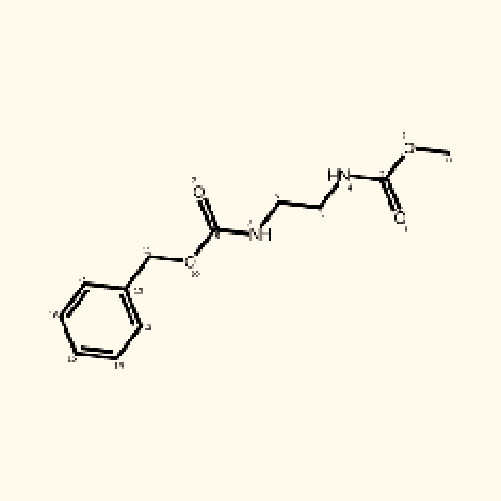 COC(=O)NCCNC(=O)OCc1ccccc1